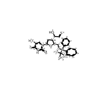 Cc1cn([C@H]2C[C@H](C(O)C=S)[C@@H](CO[Si](c3ccccc3)(c3ccccc3)C(C)(C)C)O2)c(=O)[nH]c1=O